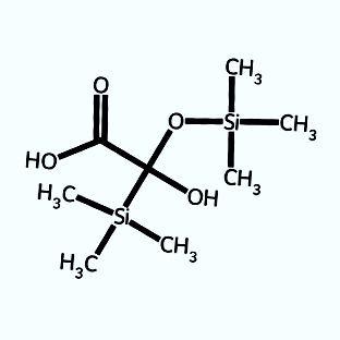 C[Si](C)(C)OC(O)(C(=O)O)[Si](C)(C)C